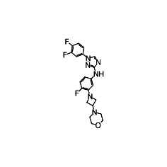 Fc1ccc(-n2cnc(Nc3ccc(F)c(N4CC(N5CCOCC5)C4)c3)n2)cc1F